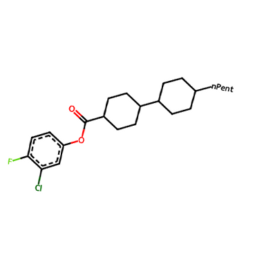 CCCCCC1CCC(C2CCC(C(=O)Oc3ccc(F)c(Cl)c3)CC2)CC1